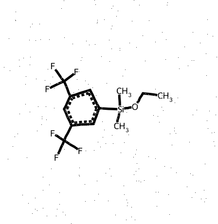 CCO[Si](C)(C)c1cc(C(F)(F)F)cc(C(F)(F)F)c1